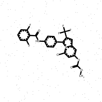 COC(=O)Oc1cc(Cl)n2c(-c3ccc(NC(=O)c4c(F)cccc4F)cc3)c(C(F)(F)F)cc2c1